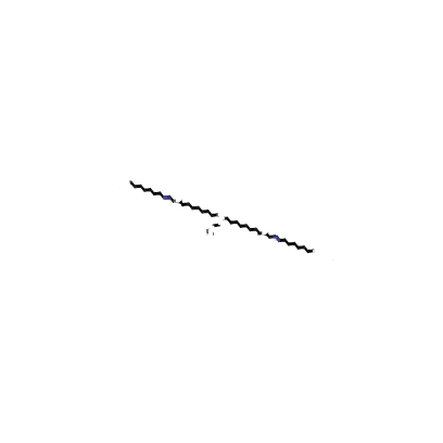 CCCCCCCC/C=C/COC(=O)CCCCCCCN(CCCCCCCC(=O)OC/C=C/CCCCCCCC)CCN(C)C